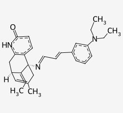 C/C=C1\[C@H]2C=C(C)C[C@]1(N=CC=Cc1cccc(N(CC)CC)c1)c1ccc(=O)[nH]c1C2